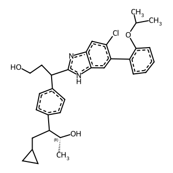 CC(C)Oc1ccccc1-c1cc2[nH]c(C(CCO)c3ccc(C(CC4CC4)[C@@H](C)O)cc3)nc2cc1Cl